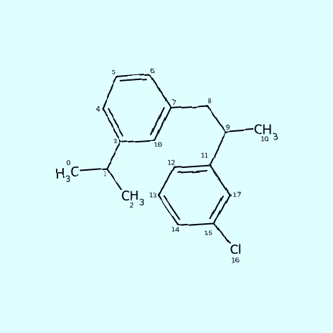 CC(C)c1cccc(CC(C)c2cccc(Cl)c2)c1